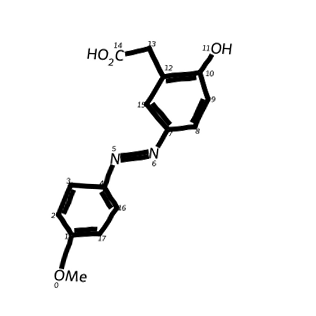 COc1ccc(N=Nc2ccc(O)c(CC(=O)O)c2)cc1